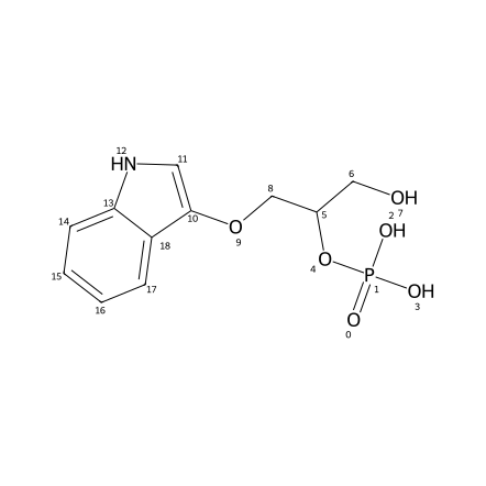 O=P(O)(O)OC(CO)COc1c[nH]c2ccccc12